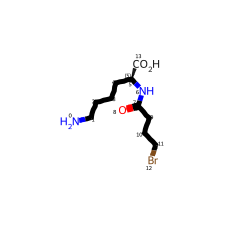 NCCCC[C@H](NC(=O)CCCBr)C(=O)O